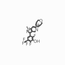 Cn1nc(-c2cc(C(F)(F)F)c(F)c(O)c2F)c2cnc(N3C4CCC3COC4)cc21